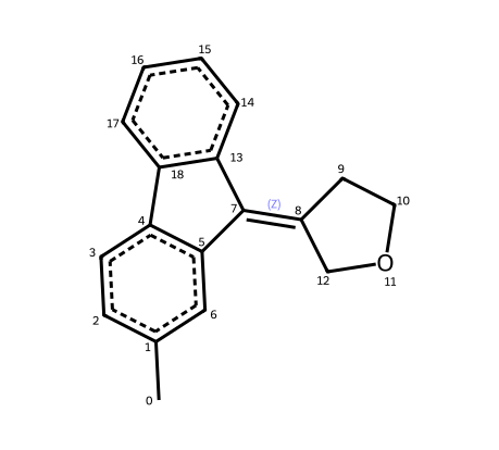 Cc1ccc2c(c1)/C(=C1/CCOC1)c1ccccc1-2